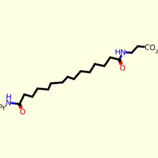 CCCNC(=O)CCCCCCCCCCCCCC(=O)NCCC(=O)O